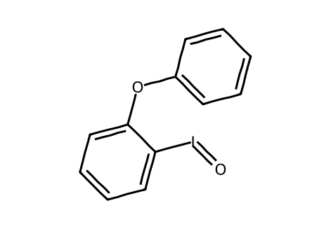 O=Ic1ccccc1Oc1ccccc1